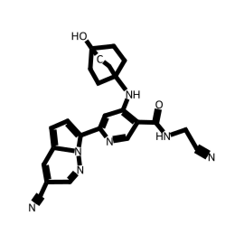 N#CCNC(=O)c1cnc(-c2ccc3cc(C#N)cnn23)cc1NC12CCC(O)(CC1)CC2